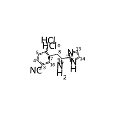 Cl.Cl.N#Cc1cccc(C[C@H](N)c2ncc[nH]2)c1